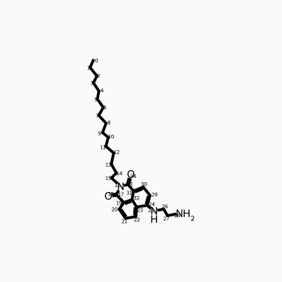 CCCCCCCCCCCCCCCCN1C(=O)c2cccc3c(NCCN)ccc(c23)C1=O